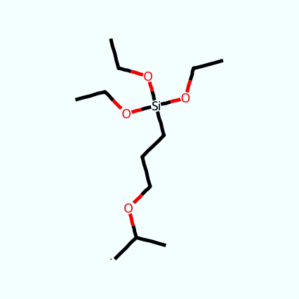 [CH2]C(C)OCCC[Si](OCC)(OCC)OCC